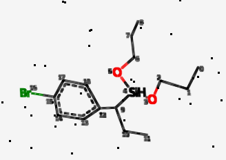 CCCO[SiH](OCCC)C(CC)c1ccc(Br)cc1